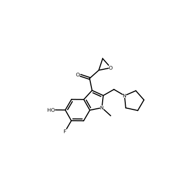 Cn1c(CN2CCCC2)c(C(=O)C2CO2)c2cc(O)c(F)cc21